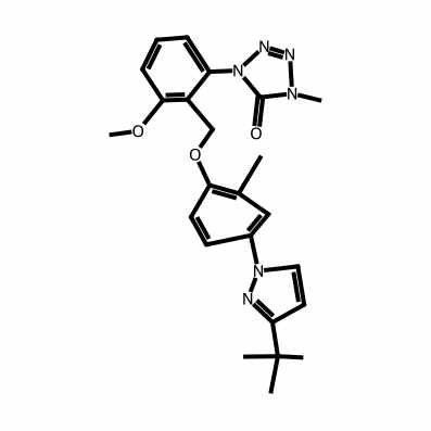 COc1cccc(-n2nnn(C)c2=O)c1COc1ccc(-n2ccc(C(C)(C)C)n2)cc1C